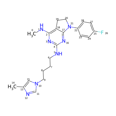 CNc1nc(NCCCCn2cnc(C)c2)nc2c1CCN2c1ccc(F)cc1